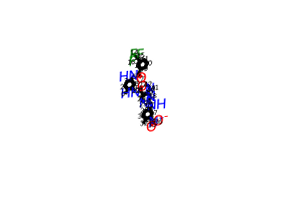 Cc1ccc(NC(=O)c2cccc(C(F)(F)F)c2)cc1NC(=O)c1cnc(Nc2ccc(C)c([N+](=O)[O-])c2)nc1N(C)C